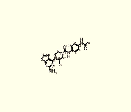 CC(=O)Nc1ccc(NC(=O)N2CCN(c3nc(N)nc4scnc34)C(C)C2)cc1